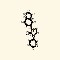 O=C1N(c2cccnc2)CCN1c1ccc2sccc2c1